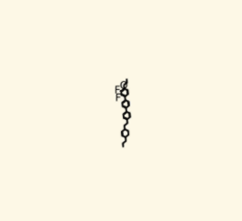 CCCC1C=CC(CCc2ccc(-c3ccc(-c4ccc(OCC)c(F)c4F)cc3)cc2)CC1